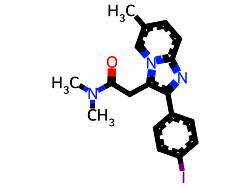 Cc1ccc2nc(-c3ccc(I)cc3)c(CC(=O)N(C)C)n2c1